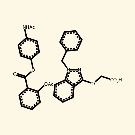 CC(=O)Nc1ccc(OC(=O)c2ccccc2OC(C)=O)cc1.O=C(O)COc1nn(Cc2ccccc2)c2ccccc12